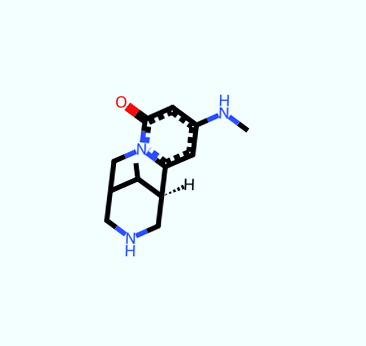 CNc1cc2n(c(=O)c1)CC1CNC[C@H]2C1C